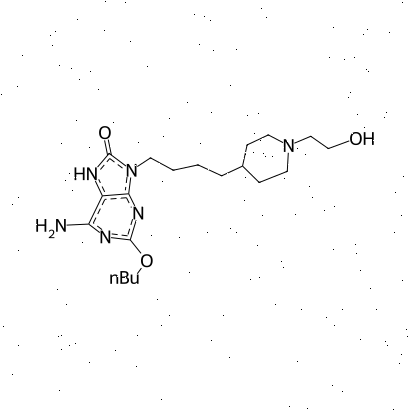 CCCCOc1nc(N)c2[nH]c(=O)n(CCCCC3CCN(CCO)CC3)c2n1